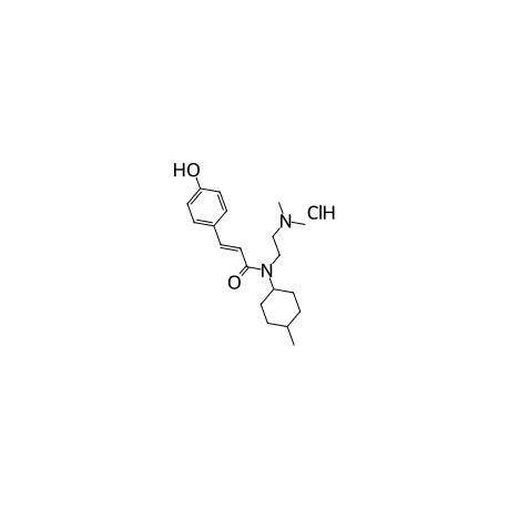 CC1CCC(N(CCN(C)C)C(=O)C=Cc2ccc(O)cc2)CC1.Cl